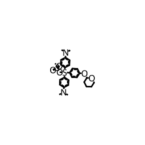 CN(C)c1ccc(S(OS(C)(=O)=O)(c2ccc(OC3CCCCO3)cc2)c2ccc(N(C)C)cc2)cc1